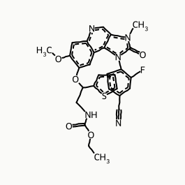 CCOC(=O)NCC(Oc1cc2c(cc1OC)ncc1c2n(-c2ccc(C#N)cc2F)c(=O)n1C)c1cccs1